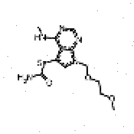 CNc1ncnc2c1c([Se]C(N)=O)cn2COCCOC